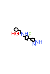 OC[C@H](CC1CCCCC1)NCc1ccc(-c2ccc3[nH]cnc3c2)c(F)c1